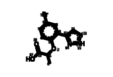 CC(Oc1ccc(Br)cc1-c1cn[nH]n1)C(=O)O